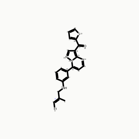 CC/C=C(\C)CNc1cccc(-c2ccnc3c(C(=O)c4cccs4)cnn23)c1